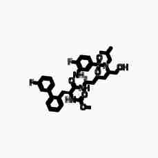 COC(=O)N[C@@H](Cc1ccccc1-c1cccc(F)c1)C(=O)NCCCCC(CO)N(CC(C)C)S(=O)(=O)c1ccc(F)c(N)c1